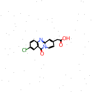 O=C(O)Cc1ccn2c(=O)c3cc(Cl)ccc3nc2c1